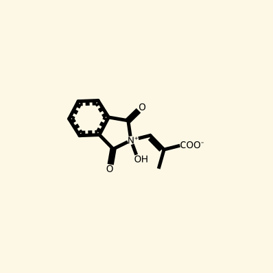 CC(=C[N+]1(O)C(=O)c2ccccc2C1=O)C(=O)[O-]